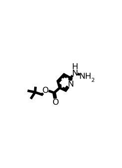 CC(C)(C)COC(=O)c1ccc(NN)nc1